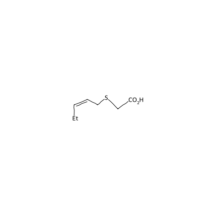 CC/C=C\CSCC(=O)O